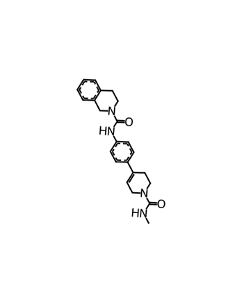 CNC(=O)N1CC=C(c2ccc(NC(=O)N3CCc4ccccc4C3)cc2)CC1